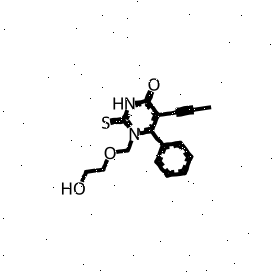 CC#Cc1c(-c2ccccc2)n(COCCO)c(=S)[nH]c1=O